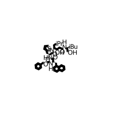 CCC(C)[C@@H](CO)NC(=O)CC(O)C(CC(C)C)NC(=O)[C@H](Cc1cccs1)NC(=O)[C@H](Cc1cccc2ccccc12)NC(=O)OCc1ccccc1